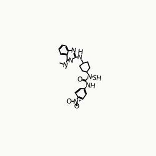 CN(C)c1nc(NC2CCC(N(S)C(=O)Nc3ccc([N+](=O)[O-])cc3)CC2)nc2ccccc12